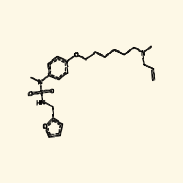 C=CCN(C)CCCCCCOc1ccc(N(C)S(=O)(=O)NCc2ccco2)cc1